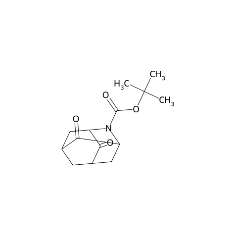 CC(C)(C)OC(=O)N1C2CC3CC(CC1C3=O)C2=O